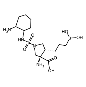 NC1CCCCC1NS(=O)(=O)N1C[C@H](CCCB(O)O)[C@](N)(C(=O)O)C1